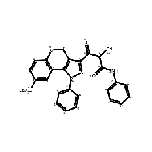 CCOC(=O)c1ccc2c(c1)-c1c(c(C(=O)C(C#N)C(=O)Nc3ccccc3)nn1-c1ccccc1)CO2